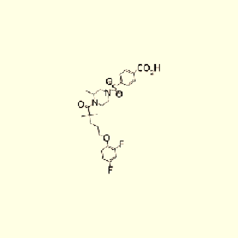 CC1CN(S(=O)(=O)c2ccc(C(=O)O)cc2)CCN1C(=O)C(C)(C)CCCOc1ccc(F)cc1F